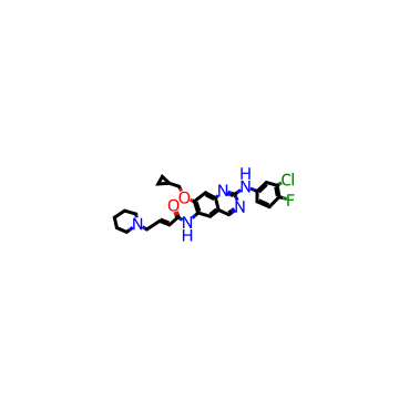 O=C(C=CCN1CCCCC1)Nc1cc2cnc(Nc3ccc(F)c(Cl)c3)nc2cc1OCC1CC1